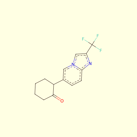 O=C1CCCCC1c1ccc2nc(C(F)(F)F)cn2c1